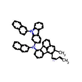 C=C/C=C\c1c(C)cc2cccc3c2c1-c1cccc(N(c2ccc4ccccc4c2)c2ccc4c5ccccc5n(-c5ccc6ccccc6c5)c4c2)c1-3